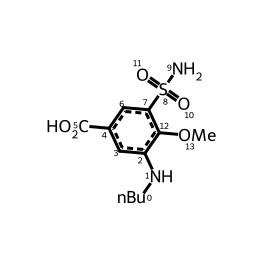 CCCCNc1cc(C(=O)O)cc(S(N)(=O)=O)c1OC